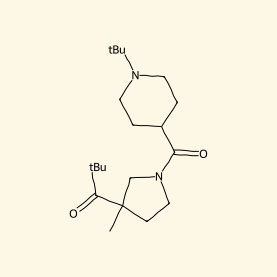 CC(C)(C)C(=O)C1(C)CCN(C(=O)C2CCN(C(C)(C)C)CC2)C1